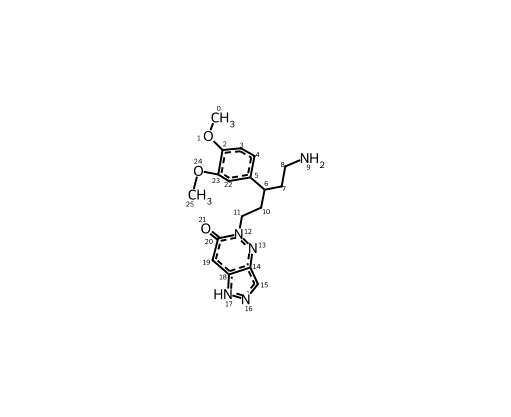 COc1ccc(C(CCN)CCn2nc3cn[nH]c3cc2=O)cc1OC